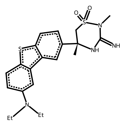 CCN(CC)c1ccc2sc3ccc([C@]4(C)CS(=O)(=O)N(C)C(=N)N4)cc3c2c1